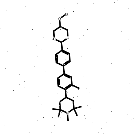 CCOC1COC(c2ccc(-c3ccc(C4CC(C)(C)N(C)C(C)(C)C4)c(F)c3)cc2)OC1